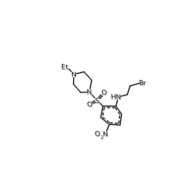 CCN1CCN(S(=O)(=O)c2cc([N+](=O)[O-])ccc2NCCBr)CC1